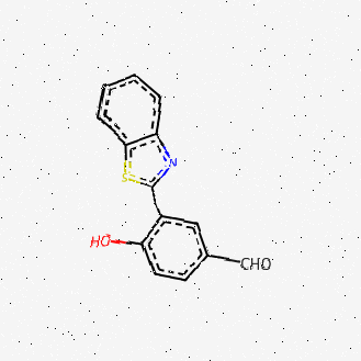 O=Cc1ccc(O)c(-c2nc3ccccc3s2)c1